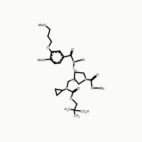 COCCCOc1cc(C(=O)N(C[C@@H]2CN(C(=O)OC(C)(C)C)C[C@H]2CN(C(=O)OCC(C)(C)C(=O)O)C2CC2)C(C)C)ccc1OC